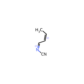 C/C=C\C=N/C#N